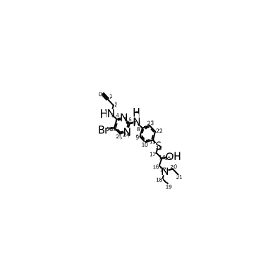 C#CCNc1nc(Nc2ccc(SCC(O)CN(CC)CC)cc2)ncc1Br